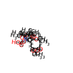 C[C@@H]1/C=C\C(=O)[C@H]2OC(C)(C)O[C@H]2C/C=C/c2cc(N(OCC(=O)O)C(=O)OC(C)(C)C)cc(O[Si](C)(C)C(C)(C)C)c2C(=O)O[C@H]1C